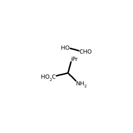 CC(C)C(N)C(=O)O.O=CO